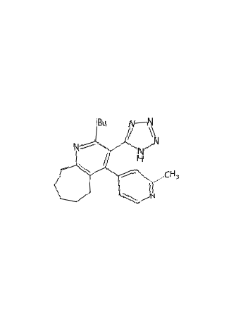 CCC(C)c1nc2c(c(-c3ccnc(C)c3)c1-c1nnn[nH]1)CCCCC2